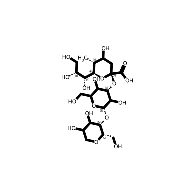 C[C@@H]1C(O)C[C@](O[C@H]2C(O)C(CO)O[C@@H](O[C@H]3C(O)C(O)CO[C@H]3CO)C2O)(C(=O)O)O[C@H]1[C@H](O)[C@H](O)CO